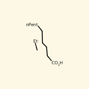 CCCCCCCCCC(=O)O.C[CH]C